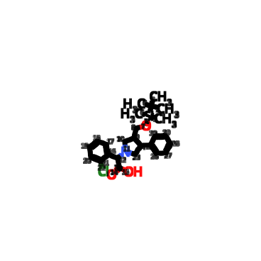 CC(C)(C)[Si](C)(C)OCC1CN(C(C(=O)O)c2ccccc2Cl)CC1c1ccccc1